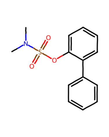 CN(C)S(=O)(=O)Oc1ccccc1-c1ccccc1